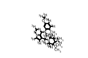 [2H]c1nc(N(C)c2cc(OC([2H])([2H])[2H])c([2H])c([2H])c2C)c2c(C([2H])([2H])N3C([2H])([2H])C([2H])([2H])[C@@](C)(N([2H])C)[C@]([2H])(OC)C3([2H])[2H])c([2H])c([2H])n2n1